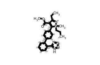 CCC[N+]1(C)N=C(CC)C(C(=O)OC)=C1c1ccc(-c2ccccc2-c2nnn[nH]2)cc1